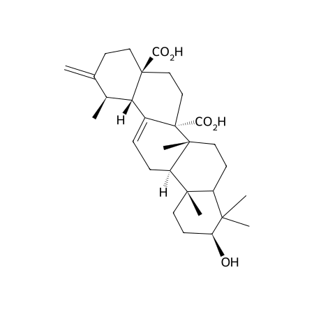 C=C1CC[C@]2(C(=O)O)CC[C@]3(C(=O)O)C(=CC[C@@H]4[C@@]5(C)CC[C@H](O)C(C)(C)C5CC[C@]43C)[C@@H]2[C@H]1C